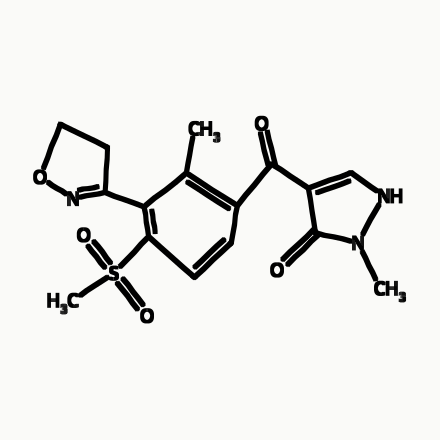 Cc1c(C(=O)c2c[nH]n(C)c2=O)ccc(S(C)(=O)=O)c1C1=NOCC1